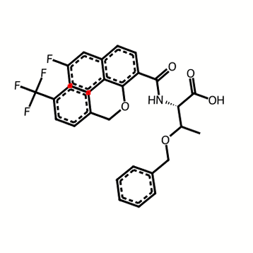 CC(OCc1ccccc1)[C@H](NC(=O)c1ccc2cc(F)ccc2c1OCc1ccc(C(F)(F)F)cc1)C(=O)O